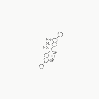 CC1(C)Nc2cc(-c3ccccc3)cc3ccc(C4C(O)C(c5ccc6cc(-c7ccccc7)cc7c6c5NC(C)(C)N7)C4O)c(c23)N1